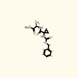 COC(=O)[C@@H](C)NC(=O)C1(NC(=O)OCc2ccccc2)CC1